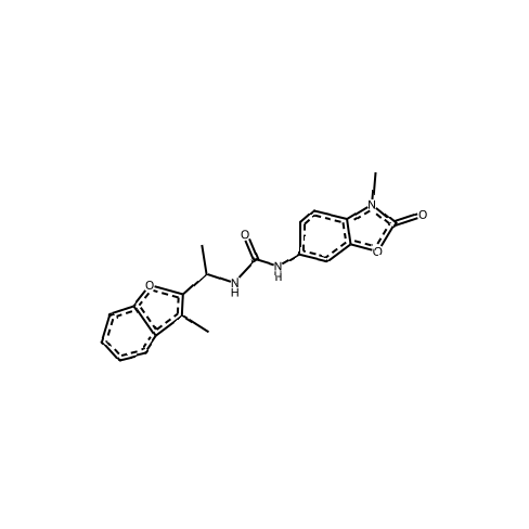 Cc1c(C(C)NC(=O)Nc2ccc3c(c2)oc(=O)n3C)oc2ccccc12